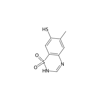 Cc1cc2c(cc1S)S(=O)(=O)NC=N2